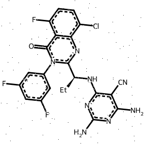 CC[C@H](Nc1nc(N)nc(N)c1C#N)c1nc2c(Cl)ccc(F)c2c(=O)n1-c1cc(F)cc(F)c1